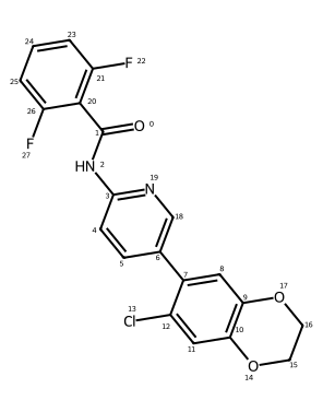 O=C(Nc1ccc(-c2cc3c(cc2Cl)OCCO3)cn1)c1c(F)cccc1F